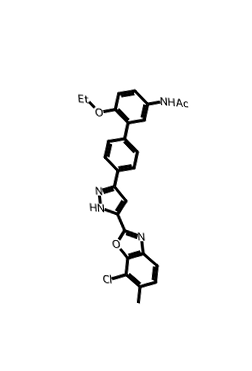 CCOc1ccc(NC(C)=O)cc1-c1ccc(-c2cc(-c3nc4ccc(C)c(Cl)c4o3)[nH]n2)cc1